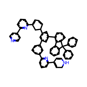 C1=CC(c2cc(-c3cccc(-c4cccc(C5=CCNC=C5)n4)c3)cc(-c3cccc4c3-c3ccccc3C4(c3ccccc3)c3ccccc3)c2)CC(c2cccc(-c3ccncc3)n2)=C1